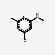 CNc1cc(Cl)nc(I)n1